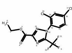 CCOC(=O)c1nc(C(F)(F)F)n(-c2ccc(Cl)cc2Cl)n1